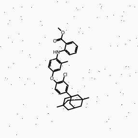 COC(=O)c1ccccc1Nc1ccc(Oc2ccc(C34CC5CC(C)(CC(C)(C5)C3)C4)cc2Cl)cc1C